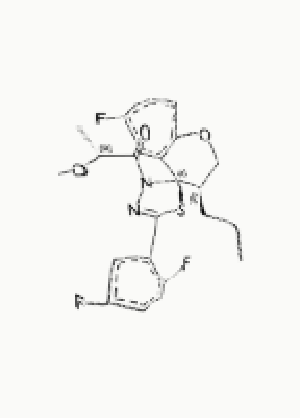 CCC[C@@H]1COc2ccc(F)cc2[C@]12SC(c1cc(F)ccc1F)=NN2C(=O)[C@@H](C)OC